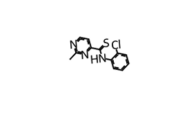 Cc1nccc(C(=S)Nc2ccccc2Cl)n1